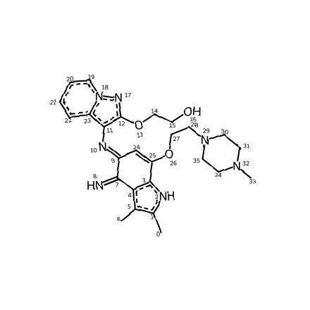 Cc1[nH]c2c(c1C)C(=N)C(=Nc1c(OCCO)nn3ccccc13)C=C2OCCN1CCN(C)CC1